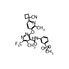 Cc1nc(C2(C#N)CCC2)ccc1Oc1nnc(C(F)(F)F)c(C)c1C(=O)Nc1cccc(S(C)(=O)=O)c1